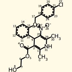 CC1=C(C(=O)OCCO)C(c2ccccc2OCc2ccc(Cl)cc2)C([N+](=O)[O-])=C(C)N1